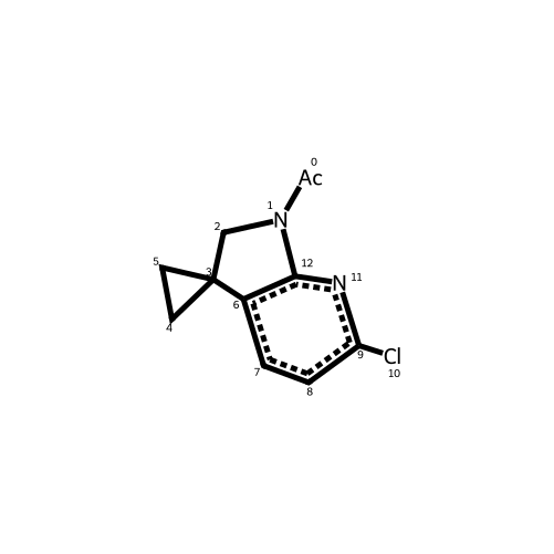 CC(=O)N1CC2(CC2)c2ccc(Cl)nc21